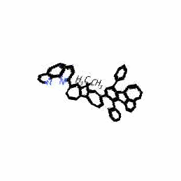 CC1(C)C2=CC(c3cc(-c4ccccc4)c4c(c3-c3ccccc3)-c3cccc5c3=C4C=CCC=5)=CCC=C2C2=C1C=C(c1ccc3ccc4cccnc4c3n1)CC=C2